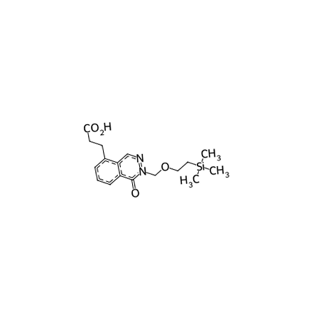 C[Si](C)(C)CCOCn1ncc2c(CCC(=O)O)cccc2c1=O